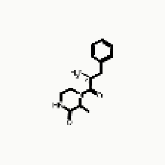 CC1C(=O)NCCN1C(=O)[C@@H](N)Cc1ccccc1